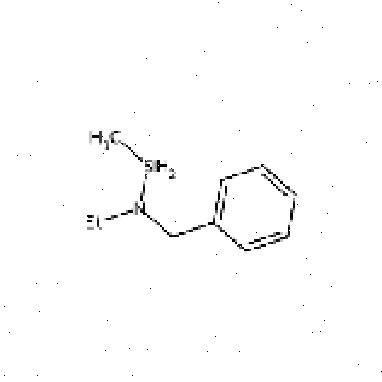 CCN(Cc1ccccc1)[SiH2]C